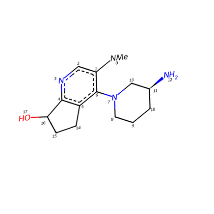 CNc1cnc2c(c1N1CCC[C@H](N)C1)CCC2O